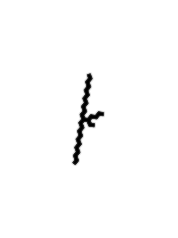 CCCCCCCCCCCC(CCCCCCCCCCC)C(CC)CCCC